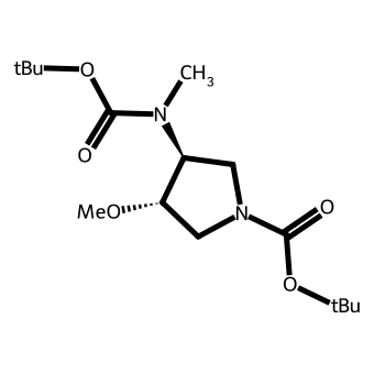 CO[C@H]1CN(C(=O)OC(C)(C)C)C[C@@H]1N(C)C(=O)OC(C)(C)C